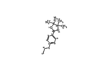 CC1(C)OB(c2ccc(CCI)cc2)OC1(C)C